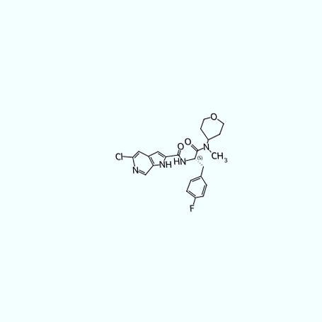 CN(C(=O)[C@H](Cc1ccc(F)cc1)NC(=O)c1cc2cc(Cl)ncc2[nH]1)C1CCOCC1